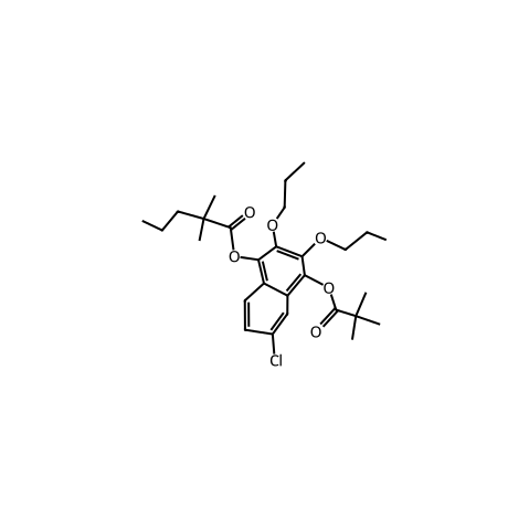 CCCOc1c(OCCC)c(OC(=O)C(C)(C)CCC)c2ccc(Cl)cc2c1OC(=O)C(C)(C)C